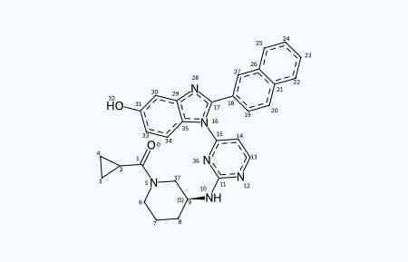 O=C(C1CC1)N1CCC[C@H](Nc2nccc(-n3c(-c4ccc5ccccc5c4)nc4cc(O)ccc43)n2)C1